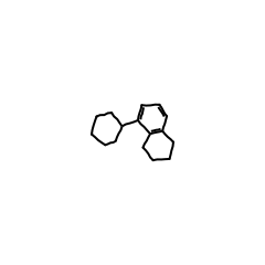 c1cc2c(c(C3CCCCC3)c1)CCCC2